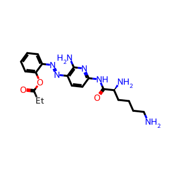 CCC(=O)Oc1ccccc1/N=N/c1ccc(NC(=O)[C@@H](N)CCCCN)nc1N